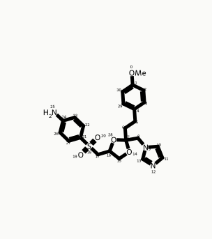 COc1ccc(CCC2(Cn3ccnc3)OCC(CS(=O)(=O)c3ccc(N)cc3)O2)cc1